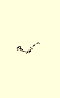 CCCCCCCC(=O)Oc1ccc2ccc(OCCCCN3CCN(c4cccc(Cl)c4Cl)CC3)cc2n1